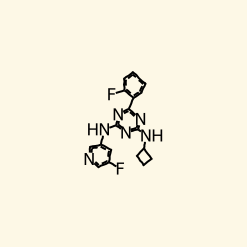 Fc1cncc(Nc2nc(NC3CCC3)nc(-c3ccccc3F)n2)c1